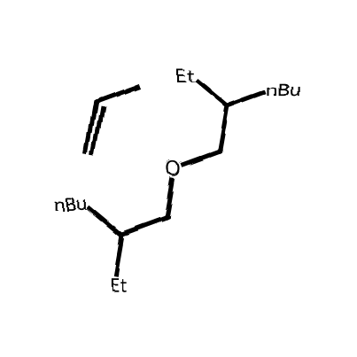 C=CC.CCCCC(CC)COCC(CC)CCCC